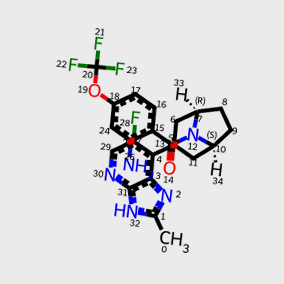 Cc1nc2c(C3C[C@H]4CC[C@@H](C3)N4C(=O)c3ccc(OC(F)(F)F)cc3N)c(F)cnc2[nH]1